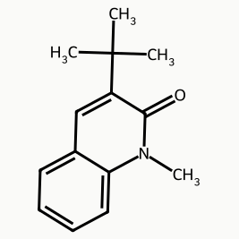 Cn1c(=O)c(C(C)(C)C)cc2ccccc21